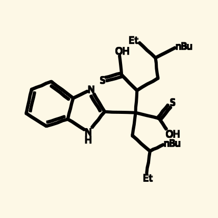 CCCCC(CC)CC(C(O)=S)C(CC(CC)CCCC)(C(O)=S)c1nc2ccccc2[nH]1